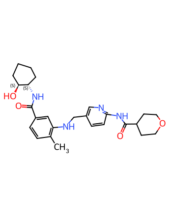 Cc1ccc(C(=O)N[C@H]2CCCC[C@@H]2O)cc1NCc1ccc(NC(=O)C2CCOCC2)nc1